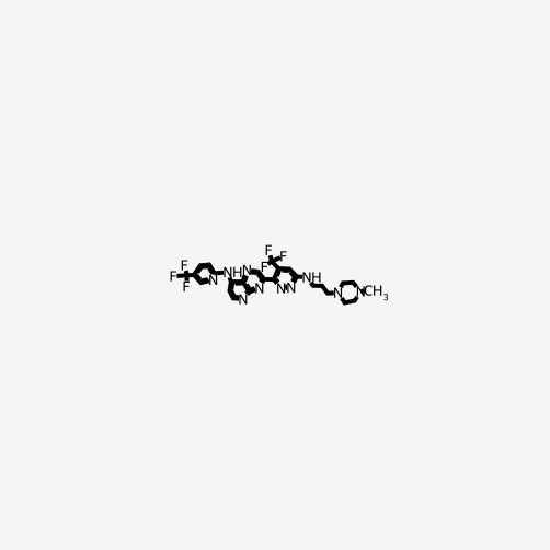 CN1CCN(CCCNc2cc(C(F)(F)F)c(-c3cnc4c(Nc5ccc(C(F)(F)F)cn5)ccnc4n3)nn2)CC1